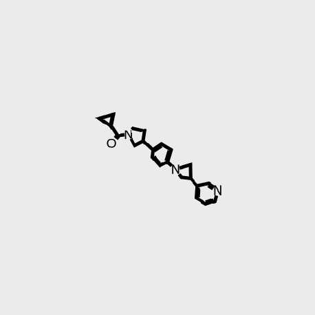 O=C(C1CC1)N1CCC(c2ccc(N3CC(c4cccnc4)C3)cc2)C1